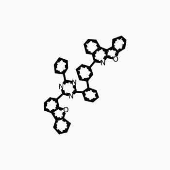 c1ccc(-c2nc(-c3ccccc3-c3cccc(-c4nc5oc6ccccc6c5c5ccccc45)c3)nc(-c3cccc4c3oc3ccccc34)n2)cc1